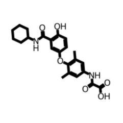 Cc1cc(NC(=O)C(=O)O)cc(C)c1Oc1ccc(O)c(C(=O)NC2CCCCC2)c1